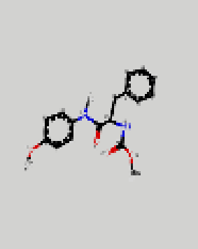 CCOc1ccc(N(CC)C(=O)C(Cc2ccccc2)NC(=O)OC(C)(C)C)cc1